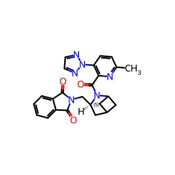 Cc1ccc(-n2nccn2)c(C(=O)N2C3CC(C3)C[C@H]2CN2C(=O)c3ccccc3C2=O)n1